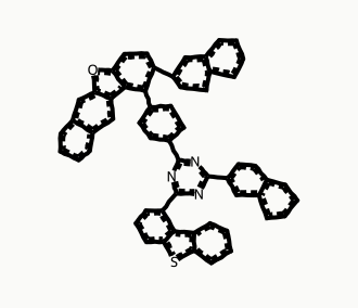 c1ccc2cc(-c3nc(-c4ccc(-c5c(-c6ccc7ccccc7c6)ccc6oc7cc8ccccc8cc7c56)cc4)nc(-c4cccc5sc6ccccc6c45)n3)ccc2c1